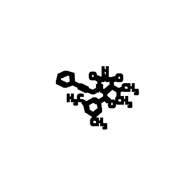 Cc1cc(C)cc(C(=O)c2c(C(C)C)c(=O)[nH]c(=O)n2CC#Cc2ccccc2)c1